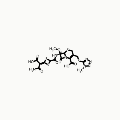 CO[C@@]1(NC(=O)C2SC(=C(C(N)=O)C(=O)O)S2)C(=O)N2C(C(=O)O)=C(CSc3nnnn3C)CSC21